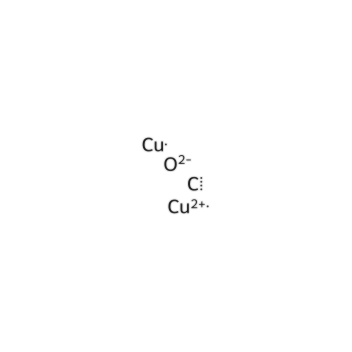 [C].[Cu+2].[Cu].[O-2]